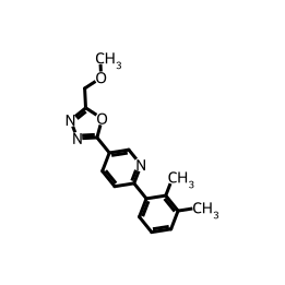 COCc1nnc(-c2ccc(-c3cccc(C)c3C)nc2)o1